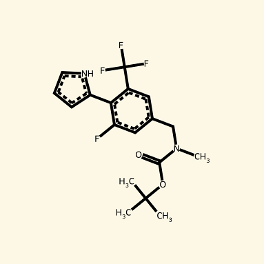 CN(Cc1cc(F)c(-c2ccc[nH]2)c(C(F)(F)F)c1)C(=O)OC(C)(C)C